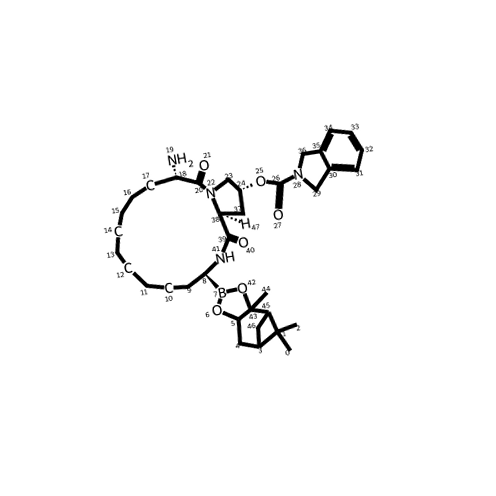 CC1(C)C2CC3OB([C@H]4CCCCCCCCC[C@H](N)C(=O)N5C[C@H](OC(=O)N6Cc7ccccc7C6)C[C@H]5C(=O)N4)OC3(C)C1C2